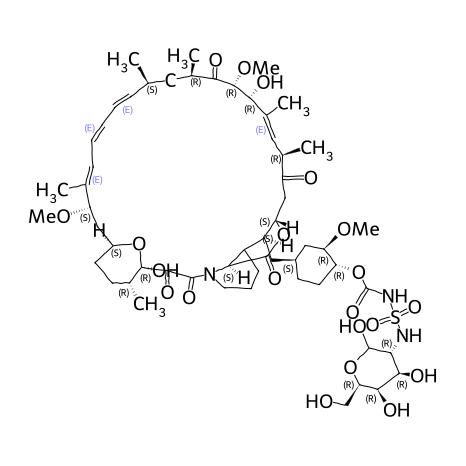 CO[C@H]1C[C@@H]2CC[C@@H](C)[C@@](O)(O2)C(=O)C(=O)N2CCCC3[C@H]2C(=O)O[C@@H](CC(=O)[C@H](C)/C=C(\C)[C@@H](O)[C@@H](OC)C(=O)[C@H](C)C[C@H](C)/C=C/C=C/C=C/1C)[C@H]3C[C@@H]1CC[C@@H](OC(=O)NS(=O)(=O)N[C@H]2C(O)O[C@H](CO)[C@H](O)[C@@H]2O)[C@H](OC)C1